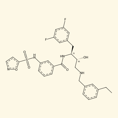 CCc1cccc(CNC[C@@H](O)[C@H](Cc2cc(F)cc(F)c2)NC(=O)c2cccc(NS(=O)(=O)c3ccno3)c2)c1